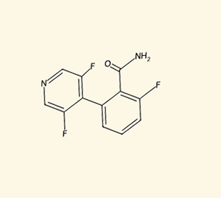 NC(=O)c1c(F)cccc1-c1c(F)cncc1F